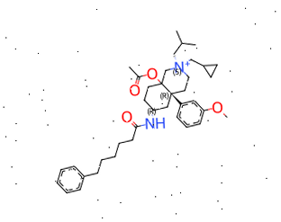 COc1cccc([C@]23CC[N@+](CC(C)C)(CC4CC4)CC2(OC(C)=O)CC[C@@H](NC(=O)CCCCCc2ccccc2)C3)c1